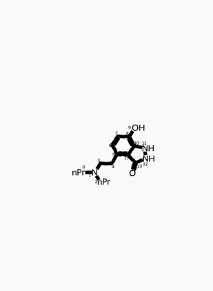 CCCN(CCC)CCc1ccc(O)c2[nH][nH]c(=O)c12